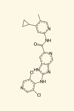 Cc1cnc(NC(=O)c2cc3[nH]c(Nc4c(Cl)cncc4Cl)nc3cn2)cc1C1CC1